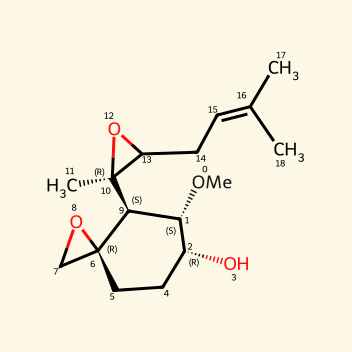 CO[C@@H]1[C@H](O)CC[C@]2(CO2)[C@H]1[C@@]1(C)OC1CC=C(C)C